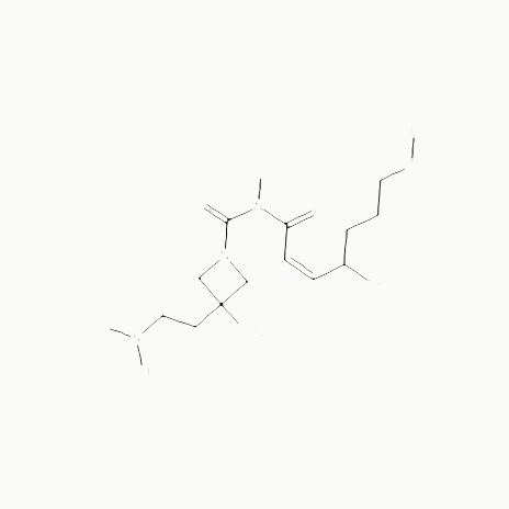 C=C(/C=C\C(CC)CCCOCC)N(C)C(=O)N1CC(C)(CCN(C)C)C1